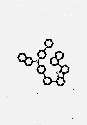 c1ccc(-c2ccc(N(c3ccc(-c4cccc(-c5cccc6c5sc5c(-c7cccc8ccccc78)cccc56)c4)cc3)c3ccc4ccccc4c3)cc2)cc1